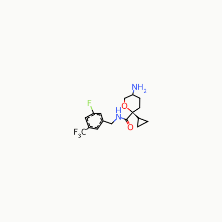 NC1CC[C@@](C(=O)NCc2cc(F)cc(C(F)(F)F)c2)(C2CC2)OC1